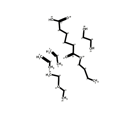 C=CC.C=CC.CCCCOC(=O)CCCCC(=O)O.CCOCC.OCCO